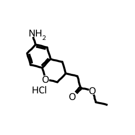 CCOC(=O)CC1COc2ccc(N)cc2C1.Cl